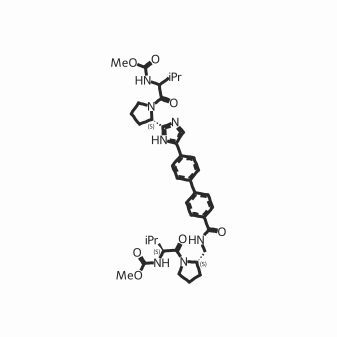 COC(=O)NC(C(=O)N1CCC[C@H]1c1ncc(-c2ccc(-c3ccc(C(=O)NC[C@@H]4CCCN4C(=O)[C@@H](NC(=O)OC)C(C)C)cc3)cc2)[nH]1)C(C)C